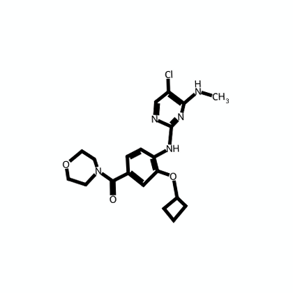 CNc1nc(Nc2ccc(C(=O)N3CCOCC3)cc2OC2CCC2)ncc1Cl